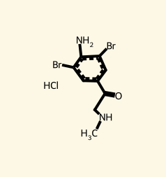 CNCC(=O)c1cc(Br)c(N)c(Br)c1.Cl